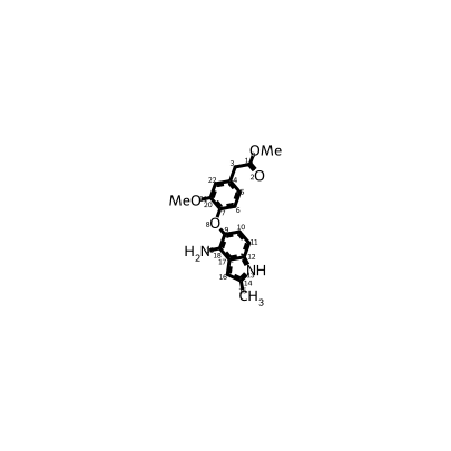 COC(=O)Cc1ccc(Oc2ccc3[nH]c(C)cc3c2N)c(OC)c1